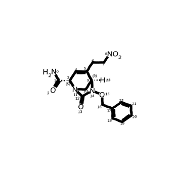 NC(=O)[C@@H]1C=C(CC[N+](=O)[O-])[C@@H]2CN1C(=O)N2OCc1ccccc1